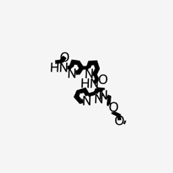 COCCOCCn1cc(NC(=O)c2cccc(-c3ccc(NC(C)=O)nc3)n2)c(-c2ccccn2)n1